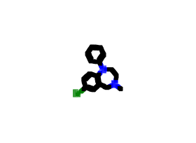 CN1CCN(c2ccccc2)c2ccc(Br)cc2C1